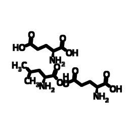 CC(C)C[C@H](N)C(=O)O.N[C@@H](CCC(=O)O)C(=O)O.N[C@@H](CCC(=O)O)C(=O)O